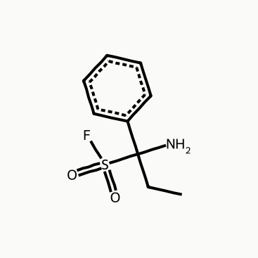 CCC(N)(c1ccccc1)S(=O)(=O)F